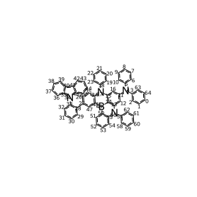 c1ccc(N(c2ccccc2)c2cc3c4c(c2)N(c2ccccc2)c2ccc(-c5ccccc5-n5c6ccccc6c6ccccc65)cc2B4c2ccccc2N3c2ccccc2)cc1